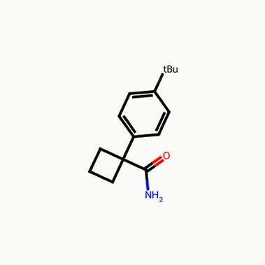 CC(C)(C)c1ccc(C2(C(N)=O)CCC2)cc1